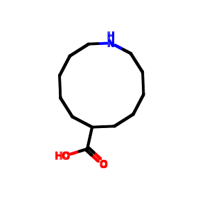 O=C(O)C1CCCCCNCCCCC1